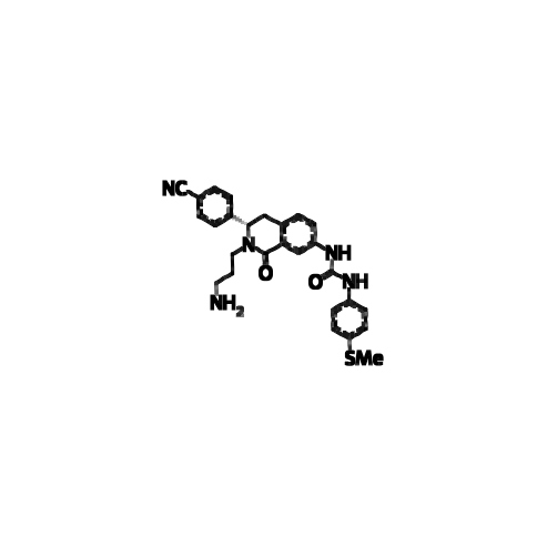 CSc1ccc(NC(=O)Nc2ccc3c(c2)C(=O)N(CCCN)[C@H](c2ccc(C#N)cc2)C3)cc1